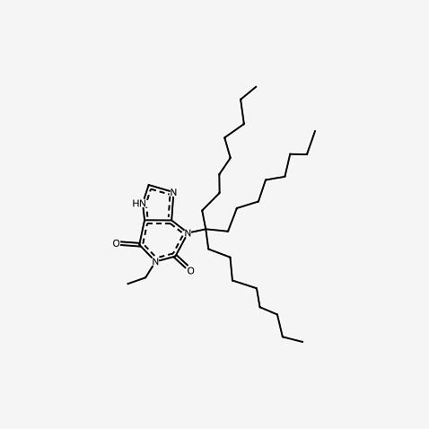 CCCCCCCCC(CCCCCCCC)(CCCCCCCC)n1c(=O)n(CC)c(=O)c2[nH]cnc21